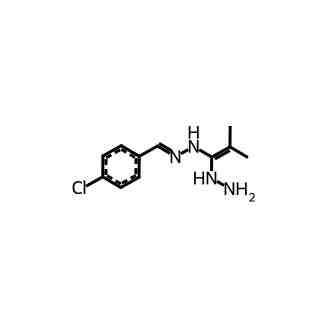 CC(C)=C(NN)N/N=C/c1ccc(Cl)cc1